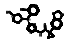 O=C(Nc1ncc([C@@H](c2ccccc2Cl)N2CC[C@@H](O)C2)s1)C1(c2ccc3c(c2)OCO3)CC1